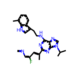 C=N/C=C(F)\C=C(/C)c1nc(NCCc2c[nH]c3c(C)cccc23)c2ncn(C(C)C)c2n1